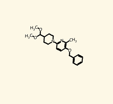 COC(OC)C1CCN(c2ccc(OCc3ccccc3)c(C)n2)CC1